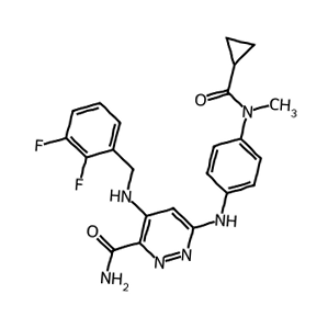 CN(C(=O)C1CC1)c1ccc(Nc2cc(NCc3cccc(F)c3F)c(C(N)=O)nn2)cc1